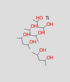 CC(O)CC(C)O.CC(O)CC(C)O.CC(O)CC(C)O.CC(O)CC(C)O.[Ti]